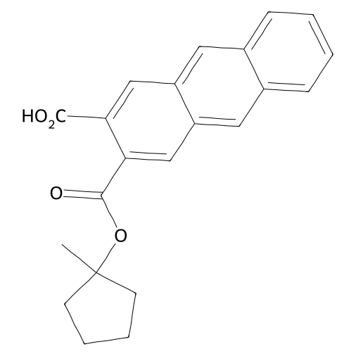 CC1(OC(=O)c2cc3cc4ccccc4cc3cc2C(=O)O)CCCC1